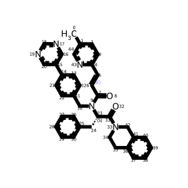 Cc1ccc(/C=C/C(=O)N(Cc2ccc(-c3cncnc3)cc2)[C@@H](Cc2ccccc2)C(=O)N2CCc3ccccc3C2)nc1